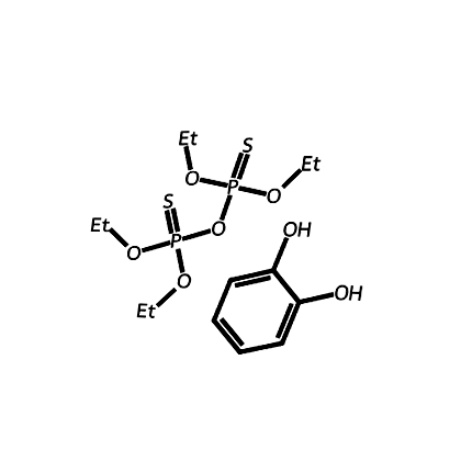 CCOP(=S)(OCC)OP(=S)(OCC)OCC.Oc1ccccc1O